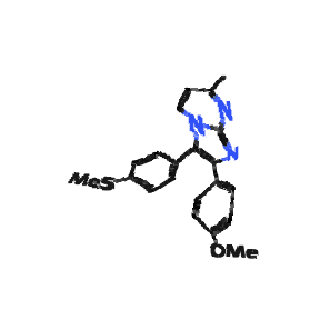 COc1ccc(-c2nc3nc(C)ccn3c2-c2ccc(SC)cc2)cc1